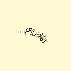 O=C1COc2ccc(N3C(=O)O[C@@H]4C[C@H](NCCn5c(=O)ccc6ccc(C(=O)O)cc65)CC[C@H]43)nc2N1